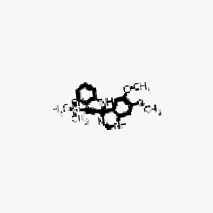 COc1cc2c(cc1OC)C(C#C[Si](C)(C)C)(Nc1ccccc1)N=CN2